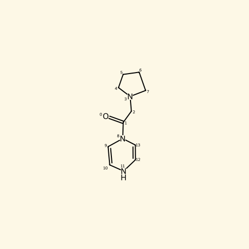 O=C(CN1CCCC1)N1C=CNC=C1